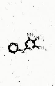 Cc1nc(Sc2ccccc2)cc(N)c1N